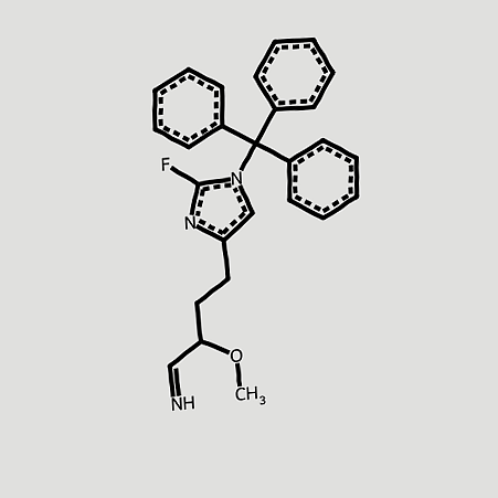 COC(C=N)CCc1cn(C(c2ccccc2)(c2ccccc2)c2ccccc2)c(F)n1